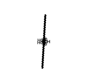 CCCCCCCCCCCCCCCCCCCCCC(=O)C(O)C(O)C(O)C(=O)CCCCCCCCCCCCCCCCCCCCC